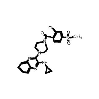 CS(=O)(=O)c1ccc(C(=O)N2CCN(c3nc4ccccc4nc3NC3CC3)CC2)c(Cl)c1